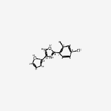 Cc1cc(Cl)ccc1-c1nc(-c2ccco2)no1